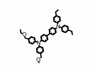 CCOCc1ccc(N(c2ccc(COC)cc2)c2ccc(-c3ccc(N(c4ccc(CC)cc4)c4ccc(CC)cc4)cc3)cc2)cc1